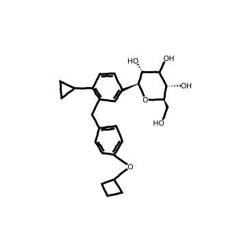 OC[C@H]1O[C@@H](c2ccc(C3CC3)c(Cc3ccc(OC4CCC4)cc3)c2)[C@H](O)C(O)[C@@H]1O